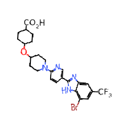 O=C(O)C1CCC(OC2CCN(c3ccc(-c4nc5cc(C(F)(F)F)cc(Br)c5[nH]4)cn3)CC2)CC1